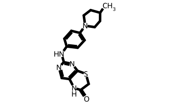 CC1CCN(c2ccc(Nc3ncc4c(n3)SCC(=O)N4)cc2)CC1